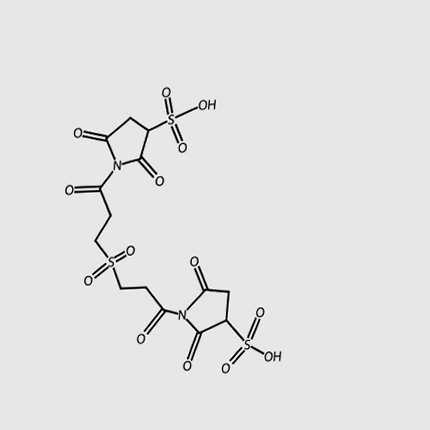 O=C(CCS(=O)(=O)CCC(=O)N1C(=O)CC(S(=O)(=O)O)C1=O)N1C(=O)CC(S(=O)(=O)O)C1=O